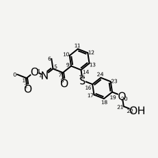 CC(=O)O/N=C(\C)C(=O)c1ccccc1Sc1ccc(OCO)cc1